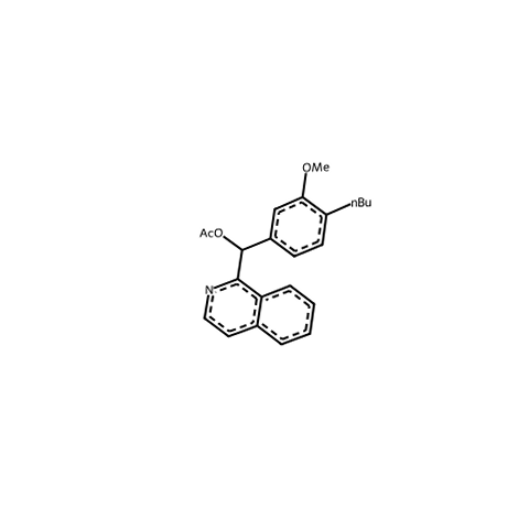 CCCCc1ccc(C(OC(C)=O)c2nccc3ccccc23)cc1OC